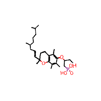 CCC(CP(=O)(O)O)Oc1c(C)c(C)c2c(c1C)CCC(C)(C=CCC(C)CCCC(C)C)O2